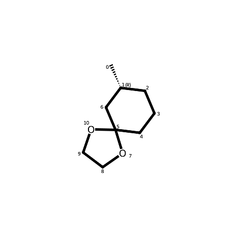 C[C@@H]1CCCC2(C1)OCCO2